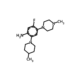 CC1CCN(c2cc(N3CCN(C)CC3)c(F)cc2N)CC1